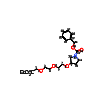 CCOC(=O)COCCOCCOC1CCN(C(=O)OCc2ccccc2)C1